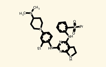 CCc1cc(N2CCC(N(C)C)CC2)ccc1Nc1nc2c(c(Nc3ccccc3S(=O)(=O)C(C)C)n1)CCN2